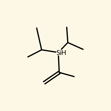 C=C(C)[SiH](C(C)C)C(C)C